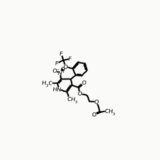 CC(=O)OCCOC(=O)C1=C(C)NC(C)=C([N+](=O)[O-])C1c1ccccc1OC(F)(F)F